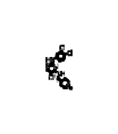 CN1CCC(CNc2nc(Nc3ccc(Cl)c(Cl)c3)ncc2C(F)(F)F)CC1